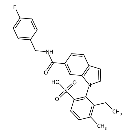 CCc1c(C)ccc(S(=O)(=O)O)c1-n1ccc2ccc(C(=O)NCc3ccc(F)cc3)cc21